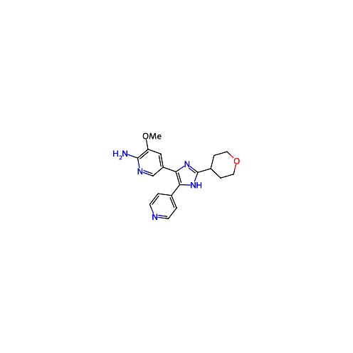 COc1cc(-c2nc(C3CCOCC3)[nH]c2-c2ccncc2)cnc1N